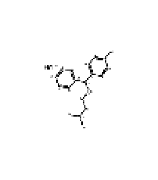 Cc1ccc(C(OCCN(C)C)c2ccccc2)cc1.Cl